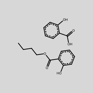 CCCCOC(=O)c1ccccc1O.O=C(O)c1ccccc1O